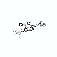 CC(C)(C)OC(=O)NCc1cc(F)c(Oc2ncnc3c2c(-c2ccnc(NCc4ccccc4)c2)cn3COCC[Si](C)(C)C)c(F)c1